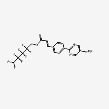 CCCCCCCc1cnc(-c2ccc(C=CC(=O)OCC(F)(F)C(F)(F)C(F)(F)C(F)F)cc2)nc1